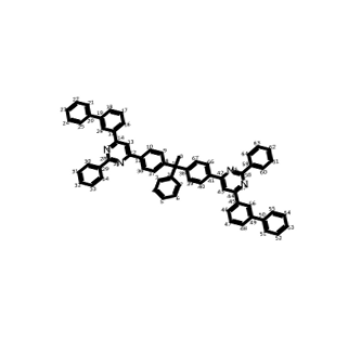 CC(c1ccccc1)(c1ccc(-c2cc(-c3cccc(-c4ccccc4)c3)nc(-c3ccccc3)n2)cc1)c1ccc(-c2cc(-c3cccc(-c4ccccc4)c3)nc(-c3ccccc3)n2)cc1